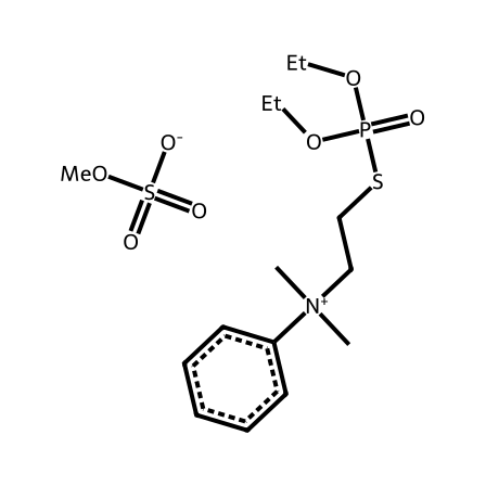 CCOP(=O)(OCC)SCC[N+](C)(C)c1ccccc1.COS(=O)(=O)[O-]